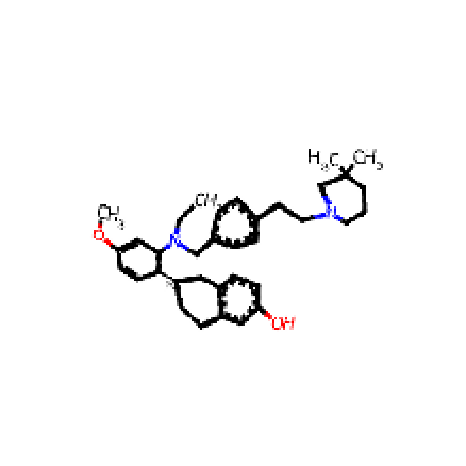 CCN(Cc1ccc(CCN2CCCC(C)(C)C2)cc1)C1C=C(OC)C=CC1[C@@H]1CCc2cc(O)ccc2C1